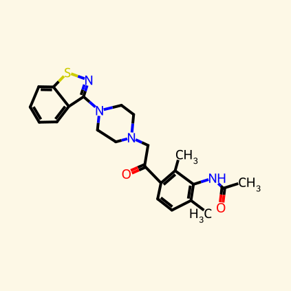 CC(=O)Nc1c(C)ccc(C(=O)CN2CCN(c3nsc4ccccc34)CC2)c1C